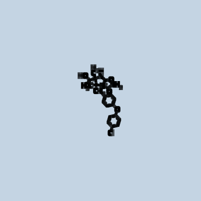 CC1(C)[C@](C)(C(=O)O)NC(=O)[N+]1(Cc1ccc(Oc2ccc(Cl)cc2)cc1)C(N)=O